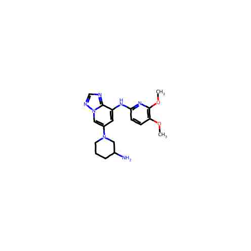 COc1ccc(Nc2cc(N3CCCC(N)C3)cn3ncnc23)nc1OC